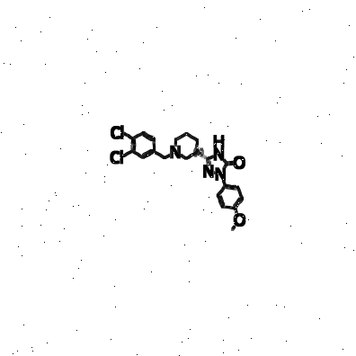 COc1ccc(-n2nc([C@H]3CCCN(Cc4ccc(Cl)c(Cl)c4)C3)[nH]c2=O)cc1